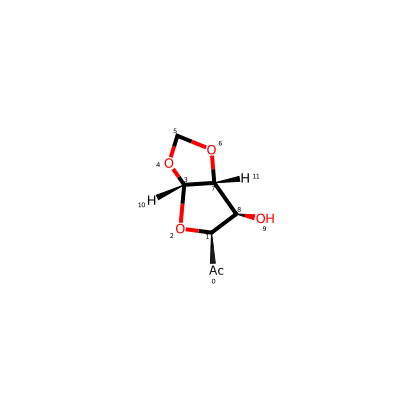 CC(=O)[C@H]1O[C@@H]2OCO[C@@H]2[C@H]1O